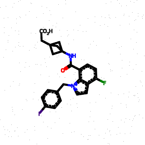 O=C(O)CC12CC(NC(=O)c3ccc(F)c4ccn(Cc5ccc(I)cc5)c34)(C1)C2